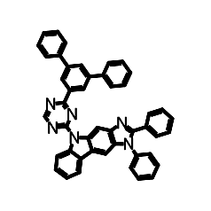 c1ccc(-c2cc(-c3ccccc3)cc(-c3ncnc(-n4c5ccccc5c5cc6c(cc54)nc(-c4ccccc4)n6-c4ccccc4)n3)c2)cc1